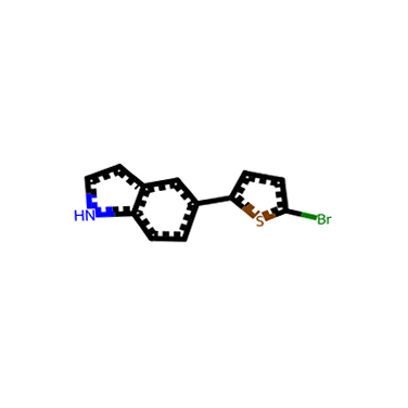 Brc1ccc(-c2ccc3[nH]ccc3c2)s1